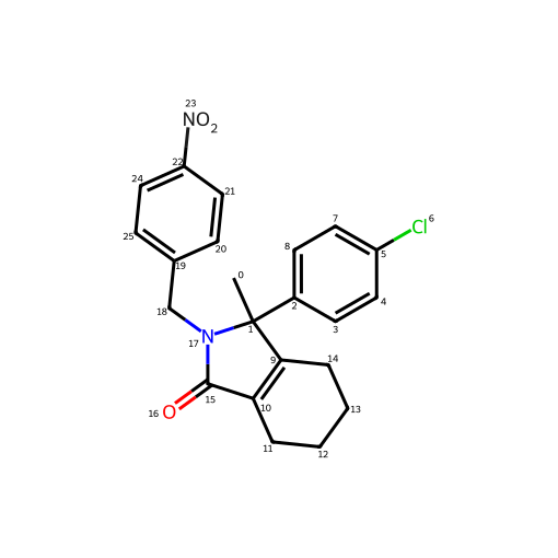 CC1(c2ccc(Cl)cc2)C2=C(CCCC2)C(=O)N1Cc1ccc([N+](=O)[O-])cc1